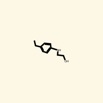 CCc1ccc(NCCO)cc1